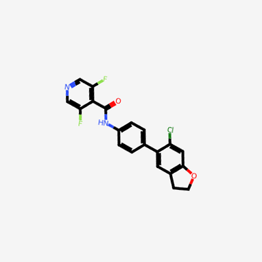 O=C(Nc1ccc(-c2cc3c(cc2Cl)OCC3)cc1)c1c(F)cncc1F